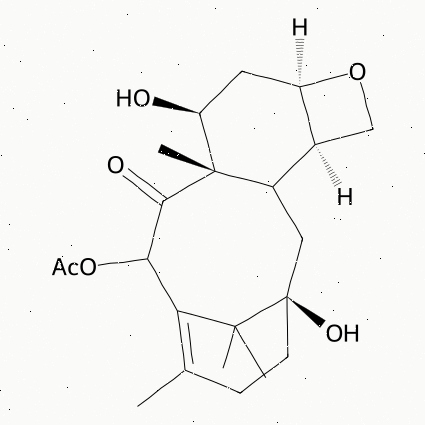 CC(=O)OC1C(=O)[C@@]2(C)C(C[C@]3(O)CCC(C)=C1C3(C)C)[C@@H]1CO[C@@H]1C[C@@H]2O